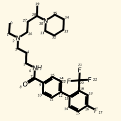 CCN(CCCNC(=O)c1ccc(-c2ccc(F)cc2C(F)(F)F)cc1)CCC(C)N1CCCCC1